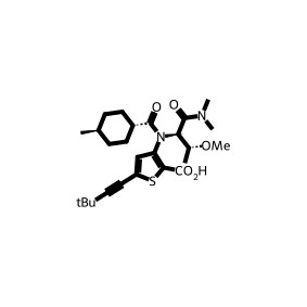 CO[C@H](C)[C@H](C(=O)N(C)C)N(c1cc(C#CC(C)(C)C)sc1C(=O)O)C(=O)[C@H]1CC[C@H](C)CC1